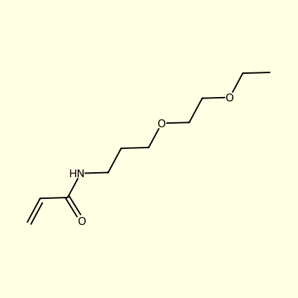 C=CC(=O)NCCCOCCOCC